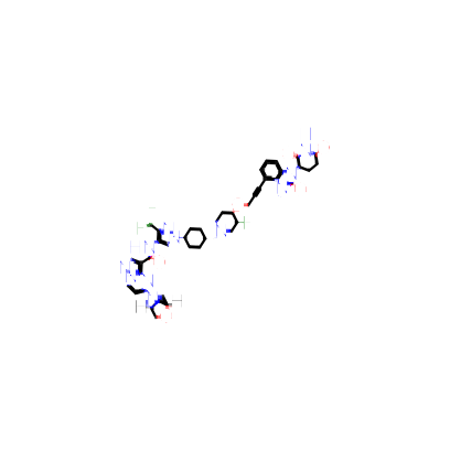 Cn1c(=O)n(C2CCC(=O)NC2=O)c2cccc(C#CCO[C@@H]3CCN(C[C@H]4CC[C@H](n5cc(NC(=O)c6cnn7ccc(N8C[C@H]9C[C@@H]8CO9)nc67)c(C(F)F)n5)CC4)C[C@@H]3F)c21